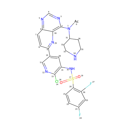 CC(=O)N(c1ncnc2ccc(-c3cnc(Cl)c(NS(=O)(=O)c4ccc(F)cc4F)c3)nc12)C1CCNCC1